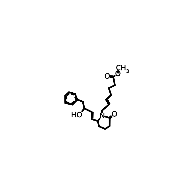 COC(=O)CCCC=CCN1C(=O)CCCC1C=CC(O)Cc1ccccc1